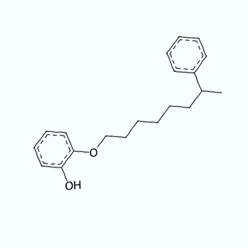 CC(CCCCCCOc1ccccc1O)c1ccccc1